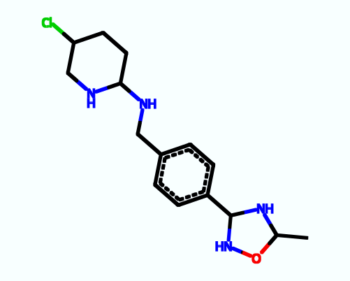 CC1NC(c2ccc(CNC3CCC(Cl)CN3)cc2)NO1